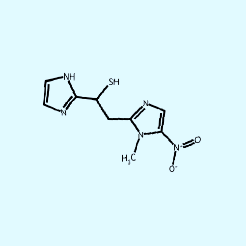 Cn1c([N+](=O)[O-])cnc1CC(S)c1ncc[nH]1